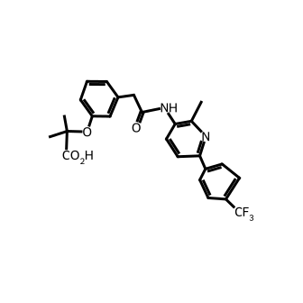 Cc1nc(-c2ccc(C(F)(F)F)cc2)ccc1NC(=O)Cc1cccc(OC(C)(C)C(=O)O)c1